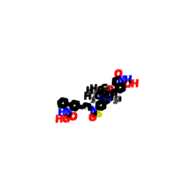 CC(C)(C)[Si](C)(C)O[C@H](CNCc1ccc2c(c1)sc(=O)n2CC/C=C/c1ccc(-c2ccccc2)c(NC(=O)O)c1)c1ccc(O)c2[nH]c(=O)ccc12